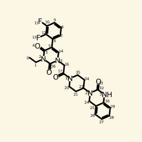 CCn1c(=O)c(-c2cccc(F)c2F)cn(CC(=O)N2CCC(N3Cc4ccccc4NC3=O)CC2)c1=O